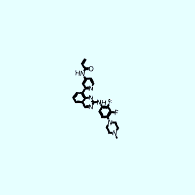 C=CC(=O)Nc1ccnc(-c2cccc3cnc(Nc4ccc(N5CCN(C)CC5)c(F)c4F)nc23)c1